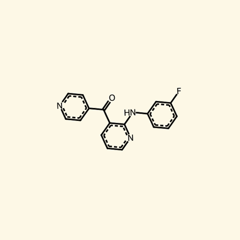 O=C(c1ccncc1)c1cccnc1Nc1cccc(F)c1